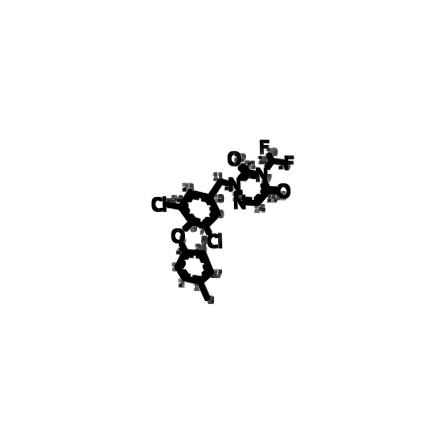 Cc1ccc(Oc2c(Cl)cc(Cn3ncc(=O)n(C(F)F)c3=O)cc2Cl)cc1